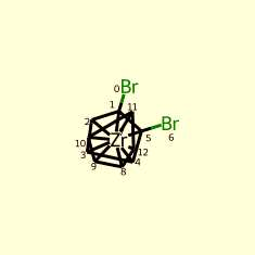 Br[C]12[CH]3[CH]4[CH]5[C]1(Br)[Zr]43521678[CH]2[CH]1[CH]6[CH]7[CH]28